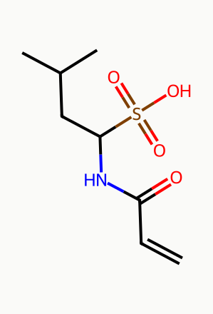 C=CC(=O)NC(CC(C)C)S(=O)(=O)O